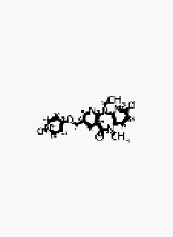 CCN1c2ncc(COc3cc[n+]([O-])cc3)cc2C(=O)N(C)c2ccc(Cl)nc21